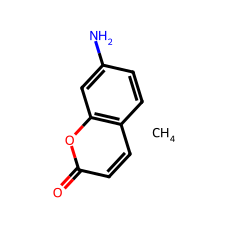 C.Nc1ccc2ccc(=O)oc2c1